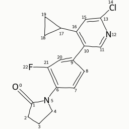 O=C1CCCN1c1ccc(-c2cnc(Cl)cc2C2CC2)cc1F